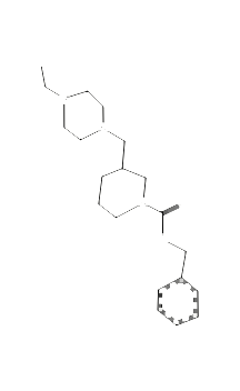 CCN1CCN(CC2CCCN(C(=O)OCc3ccccc3)C2)CC1